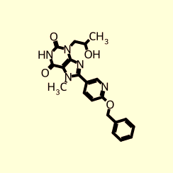 CC(O)Cn1c(=O)[nH]c(=O)c2c1nc(-c1ccc(OCc3ccccc3)nc1)n2C